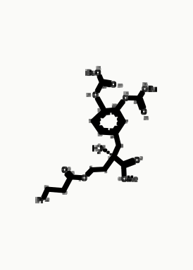 COC(=O)[C@@](N)(CCOC(=O)CCC(C)C)Cc1ccc(OC(=O)OCC(C)C)c(OC(=O)OCC(C)C)c1